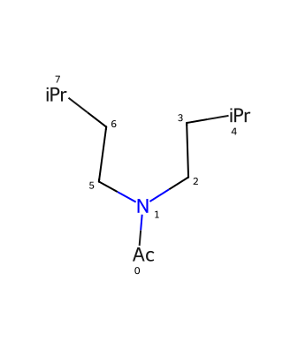 CC(=O)N(CCC(C)C)CCC(C)C